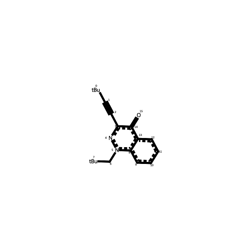 CC(C)(C)C#Cc1nn(CC(C)(C)C)c2ccccc2c1=O